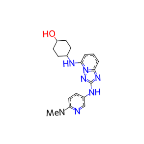 CNc1ccc(Nc2nc3cccc(NC4CCC(O)CC4)n3n2)cn1